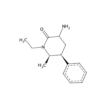 CCN1C(=O)C(N)C[C@@H](c2ccccc2)[C@H]1C